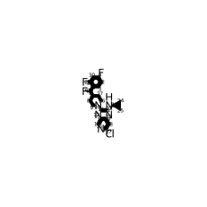 Fc1ccc([C@H](F)C2CCN(c3nc4cnc(Cl)cc4nc3NC3CC3)CC2)c(F)c1